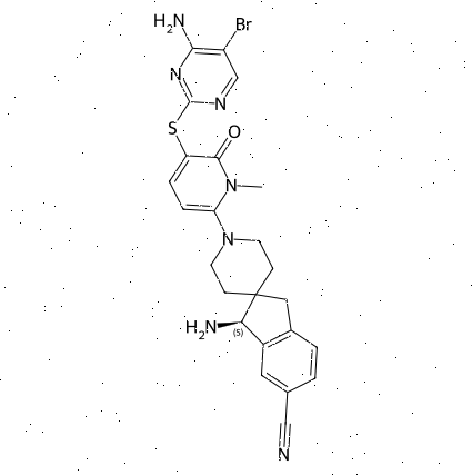 Cn1c(N2CCC3(CC2)Cc2ccc(C#N)cc2[C@H]3N)ccc(Sc2ncc(Br)c(N)n2)c1=O